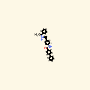 CC(NC1CC1c1ccc(NC(=O)c2ccc(-c3ccccc3)cc2)cc1)c1ccccc1